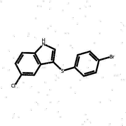 Clc1ccc2[nH]cc(Sc3ccc(Br)cc3)c2c1